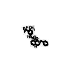 Cc1ccc(NC(=O)[C@H]2CC=C[C@H]3CCN(Cc4ccccc4)C(=O)[C@@H]23)cc1C(F)(F)F